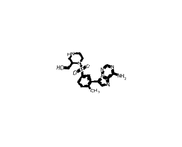 Cc1ccc(S(=O)(=O)N2CCNCC2CO)cc1-c1cnc2c(N)ncnn12